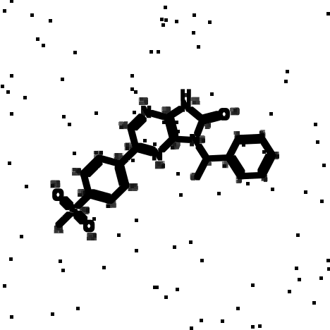 CC(c1ccccc1)n1c(=O)[nH]c2ncc(-c3ccc(S(C)(=O)=O)cc3)nc21